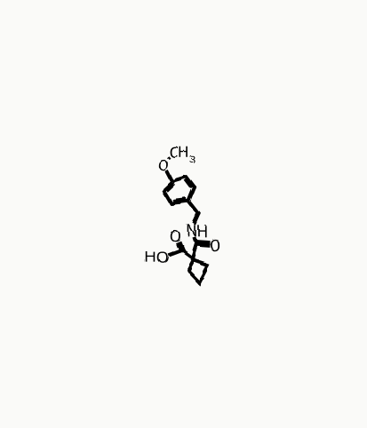 COc1ccc(CNC(=O)C2(C(=O)O)CCC2)cc1